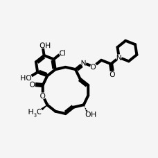 C[C@@H]1C/C=C/[C@@H](O)C/C=C/C(=N\OCC(=O)N2CCCCC2)Cc2c(Cl)c(O)cc(O)c2C(=O)O1